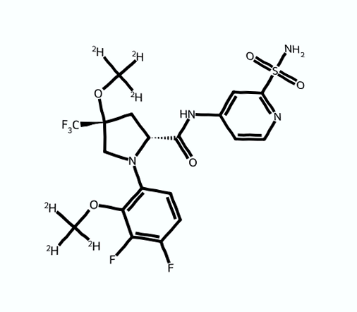 [2H]C([2H])([2H])Oc1c(N2C[C@@](OC([2H])([2H])[2H])(C(F)(F)F)C[C@@H]2C(=O)Nc2ccnc(S(N)(=O)=O)c2)ccc(F)c1F